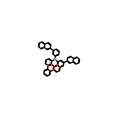 c1ccc(-c2ccccc2N(c2cccc(-c3ccc4ccccc4c3)c2)c2cc(-c3ccc4ccccc4c3)ccc2-c2ccc3ccccc3c2)cc1